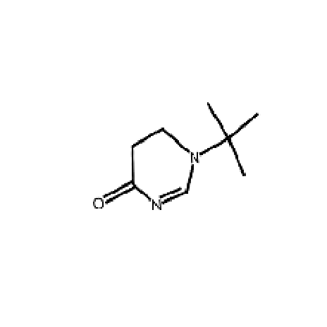 CC(C)(C)N1C=NC(=O)CC1